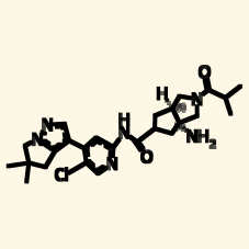 CC(C)C(=O)N1C[C@@H]2CC(C(=O)Nc3cc(-c4cnn5c4CC(C)(C)C5)c(Cl)cn3)C[C@]2(N)C1